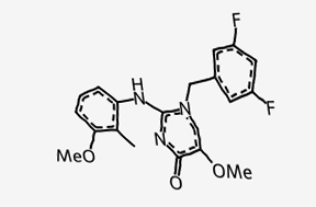 COc1cccc(Nc2nc(=O)c(OC)cn2Cc2cc(F)cc(F)c2)c1C